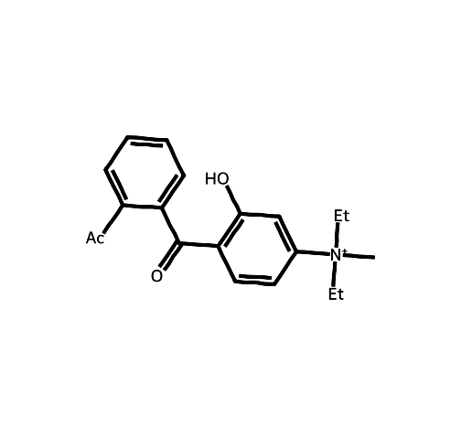 CC[N+](C)(CC)c1ccc(C(=O)c2ccccc2C(C)=O)c(O)c1